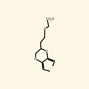 C/C=C1/OCC(CCOCC(=O)O)O/C1=C/C